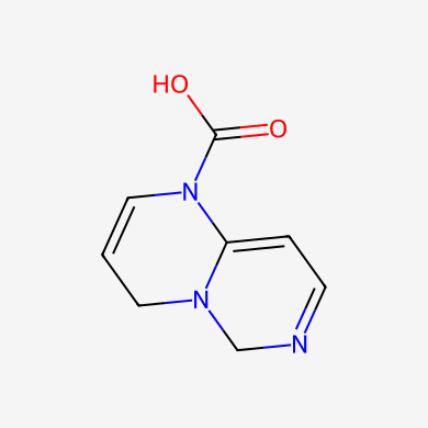 O=C(O)N1C=CCN2CN=CC=C21